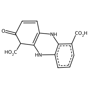 O=C(O)c1cccc2c1NC1=C(N2)C(C(=O)O)C(=O)C=C1